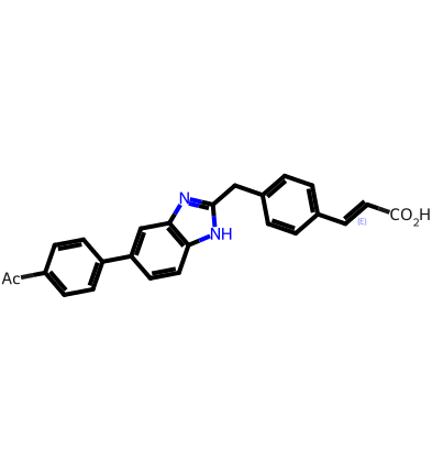 CC(=O)c1ccc(-c2ccc3[nH]c(Cc4ccc(/C=C/C(=O)O)cc4)nc3c2)cc1